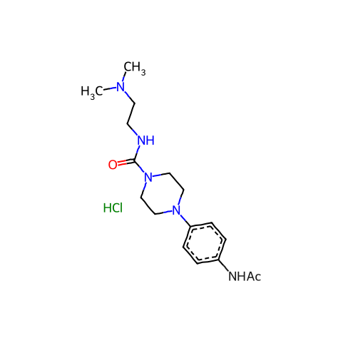 CC(=O)Nc1ccc(N2CCN(C(=O)NCCN(C)C)CC2)cc1.Cl